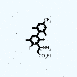 CCOC(=O)C[C@H](N)c1c(F)c(C)cc(-c2c(C)cc(C(F)(F)F)cc2C)c1F